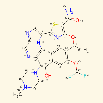 CC(Oc1nc(-c2cnc3cnc(CN4CCN(C)CC4)cn23)sc1C(N)=O)c1ccc(CO)cc1OC(F)F